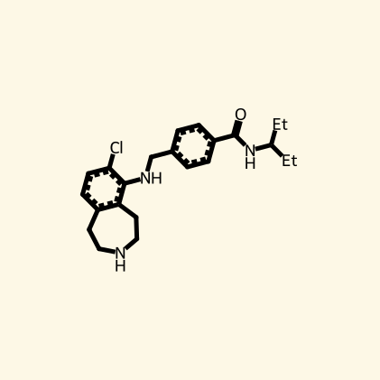 CCC(CC)NC(=O)c1ccc(CNc2c(Cl)ccc3c2CCNCC3)cc1